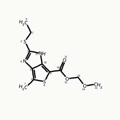 CCSc1nc2c(C)sc(C(=O)OCOC)c2[nH]1